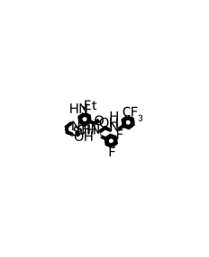 CCNc1cc(C(=O)N[C@@H](Cc2cc(F)cc(F)c2)[C@@H](O)CNCc2cccc(C(F)(F)F)c2)cc(N2CCCCS2(O)O)c1